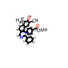 COC(=O)c1cccc([C@]23CC(C#N)C(=O)[C@@H](C)[C@@H]2CCc2cnc(-c4ccccc4)nc23)c1